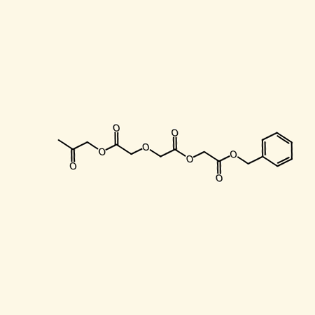 CC(=O)COC(=O)COCC(=O)OCC(=O)OCc1ccccc1